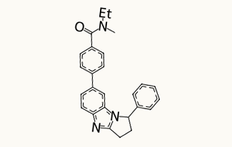 CCN(C)C(=O)c1ccc(-c2ccc3nc4n(c3c2)C(c2ccccc2)CC4)cc1